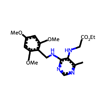 CCOC(=O)CNc1c(C)ncnc1NCc1c(OC)cc(OC)cc1OC